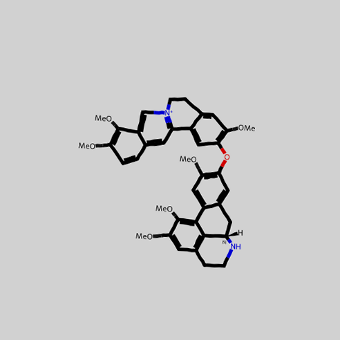 COc1cc2c(cc1Oc1cc3c(cc1OC)CC[n+]1cc4c(OC)c(OC)ccc4cc1-3)C[C@@H]1NCCc3cc(OC)c(OC)c-2c31